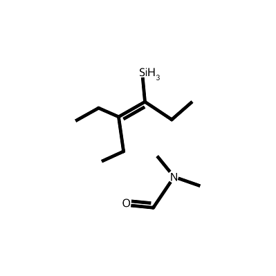 CCC([SiH3])=C(CC)CC.CN(C)C=O